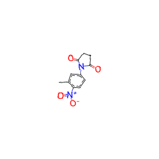 Cc1cc(N2C(=O)CCC2=O)ccc1[N+](=O)[O-]